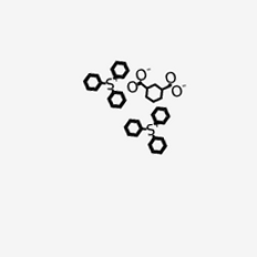 O=C([O-])C1CCCC(C(=O)[O-])C1.c1ccc([S+](c2ccccc2)c2ccccc2)cc1.c1ccc([S+](c2ccccc2)c2ccccc2)cc1